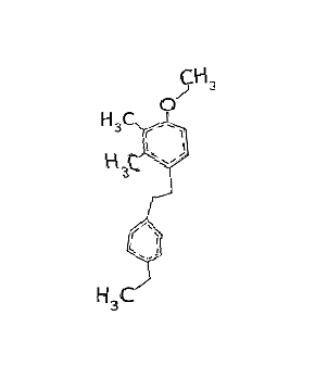 CCOc1ccc(CCc2ccc(CC)cc2)c(C)c1C